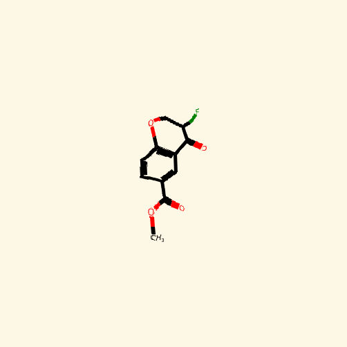 COC(=O)c1ccc2c(c1)C(=O)C(F)CO2